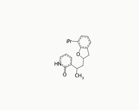 CC(C)c1cccc2c1OC(CC(C)c1ccc[nH]c1=O)C2